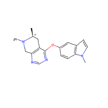 CC(C)N1Cc2ncnc(Oc3ccc4c(ccn4C)c3)c2C[C@@H]1C